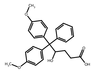 COc1ccc(C(c2ccccc2)(c2ccc(OC)cc2)C(O)CCC(=O)O)cc1